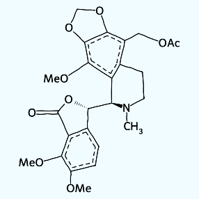 COc1ccc2c(c1OC)C(=O)O[C@@H]2[C@H]1c2c(c(COC(C)=O)c3c(c2OC)OCO3)CCN1C